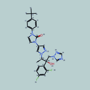 C[C@@H](n1cc(-n2ccn(-c3ccc(C(C)(C)C)cc3)c2=O)cn1)[C@](O)(Cn1cncn1)c1ccc(F)cc1F